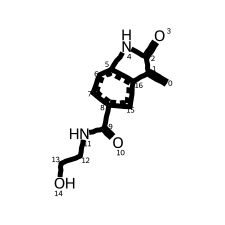 C=C1C(=O)Nc2ccc(C(=O)NCCO)cc21